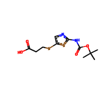 CC(C)(C)OC(=O)Nc1ncc(SCCC(=O)O)s1